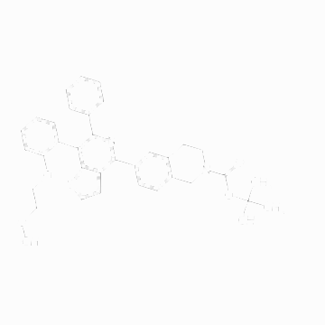 COCCOc1ccccc1-c1c(-c2ccccc2)nc(-c2ccc3c(c2)CCN(C(=O)OC(C)(C)C)C3)c2ccsc12